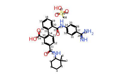 CC1(C)CCCCC1NC(=O)c1ccc(-c2ccccc2C(=O)Nc2ccc(C(=N)N)cc2)c(C(=O)O)c1.CS(=O)(=O)O